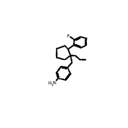 CCCC1(Cc2ccc(N)cc2)CCCCC1c1ccccc1F